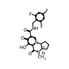 CN1C(=O)c2c(O)c(=O)c(C(=O)NCc3c(F)cc(F)cc3F)cn2C2CCC[C@H]21